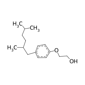 CC(C)CCC(C)Cc1ccc(OCCO)cc1